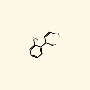 C/C=C\C(CCC)c1ncccc1C